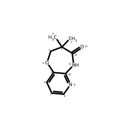 CC1(C)COc2cccnc2NC1=O